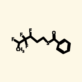 CC(F)C(F)(F)C(F)CCSC(=O)c1ccccc1